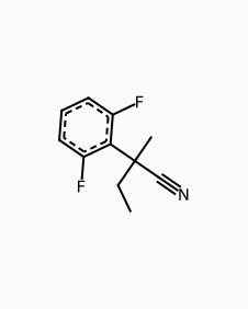 CCC(C)(C#N)c1c(F)cccc1F